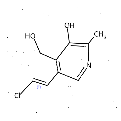 Cc1ncc(/C=C/Cl)c(CO)c1O